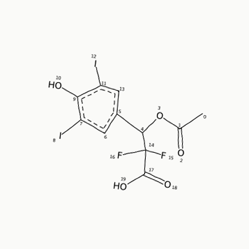 CC(=O)OC(c1cc(I)c(O)c(I)c1)C(F)(F)C(=O)O